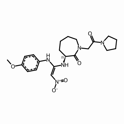 COc1ccc(NC(=C[N+](=O)[O-])N[C@H]2CCCCN(CC(=O)N3CCCC3)C2=O)cc1